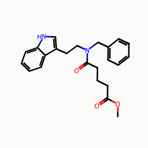 COC(=O)CCCC(=O)N(CCc1c[nH]c2ccccc12)Cc1ccccc1